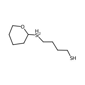 SCCCC[SiH2]C1CCCCO1